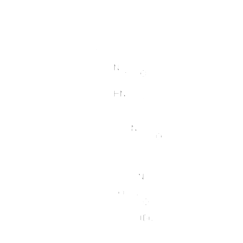 CC(C)(C)OC(=O)N1CCC(Oc2ccc(NC(=O)N3Cc4ccccc4C3)cn2)CC1